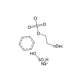 CCCCCCCCCCCCOS(=O)(=O)[O-].O=S(=O)(O)O.[Na+].c1ccccc1